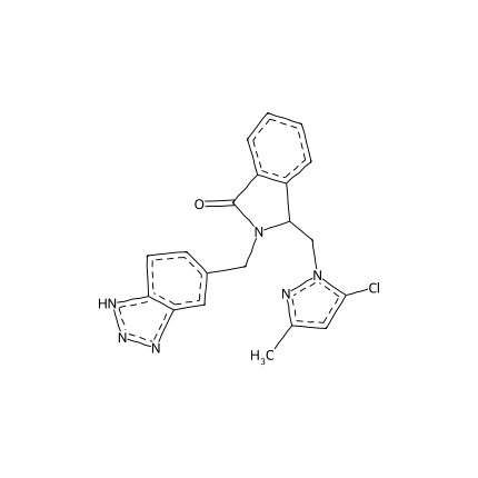 Cc1cc(Cl)n(CC2c3ccccc3C(=O)N2Cc2ccc3[nH]nnc3c2)n1